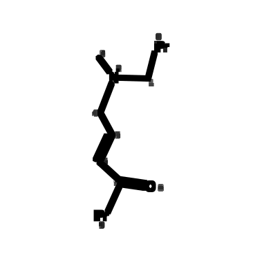 CC(C)CN(C)C/C=C/C(=O)C(C)C